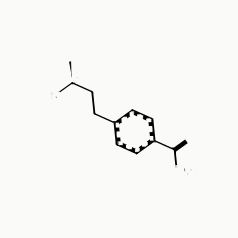 COC(=O)c1ccc(CC[C@H](C)N)cc1.Cl